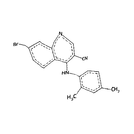 Cc1ccc(Nc2c(C#N)cnc3cc(Br)ccc23)c(C)c1